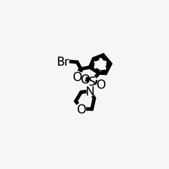 O=C(CBr)c1ccccc1S(=O)(=O)N1CCOCC1